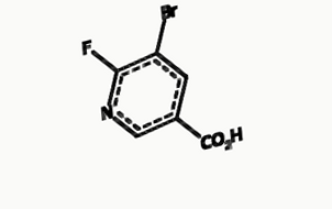 O=C(O)c1cnc(F)c(Br)c1